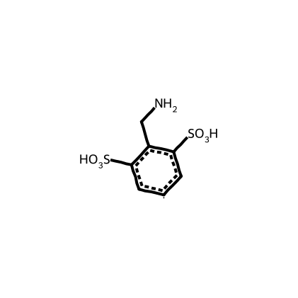 NCc1c(S(=O)(=O)O)c[c]cc1S(=O)(=O)O